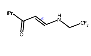 CC(C)C(=O)/C=C/NCC(F)(F)F